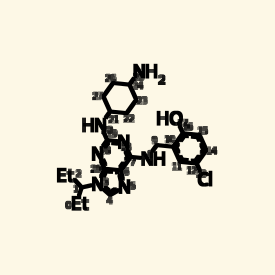 CCC(CC)n1cnc2c(NCc3cc(Cl)ccc3O)nc(NC3CCC(N)CC3)nc21